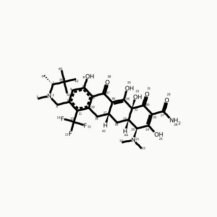 C[C@@H](N(C)Cc1cc(O)c2c(c1C(F)(F)F)C[C@H]1C[C@H]3[C@H](N(C)C)C(O)=C(C(N)=O)C(=O)[C@@]3(O)C(O)=C1C2=O)C(C)(C)C